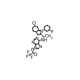 CC(Nc1ncnc2c1ncn2OC(=O)C(F)(F)F)c1cc2ccc(Cl)cc2n1-c1cccc(F)c1